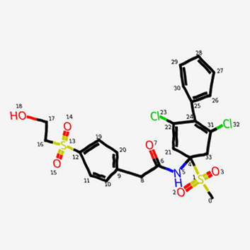 CS(=O)(=O)C1(NC(=O)Cc2ccc(S(=O)(=O)CCO)cc2)C=C(Cl)C(c2ccccc2)=C(Cl)C1